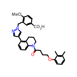 COc1ccc(C(=O)O)cc1Cn1cc(-c2cccc3c2CCCN3C(=O)CCCOc2cccc(C)c2C)cn1